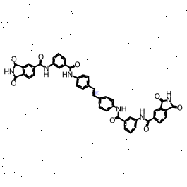 O=C(Nc1ccc(/C=C/c2ccc(NC(=O)c3cccc(NC(=O)c4ccc5c(c4)C(=O)NC5=O)c3)cc2)cc1)c1cccc(NC(=O)c2ccc3c(c2)C(=O)NC3=O)c1